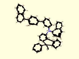 CC1(c2ccccc2)c2ccccc2-c2c(N(c3cccc(-c4ccc(-c5cccc6ccccc56)cc4)c3)c3cccc4ccccc34)cccc21